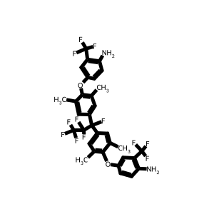 Cc1cc(C(F)(c2cc(C)c(Oc3ccc(N)c(C(F)(F)F)c3)c(C)c2)C(F)(F)C(F)(F)F)cc(C)c1Oc1ccc(N)c(C(F)(F)F)c1